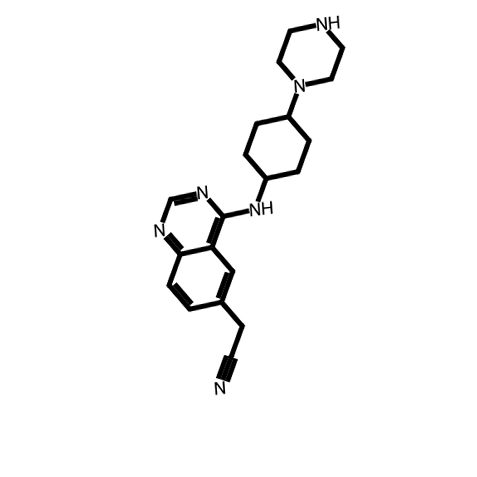 N#CCc1ccc2ncnc(NC3CCC(N4CCNCC4)CC3)c2c1